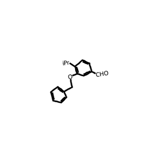 CC(C)c1ccc(C=O)cc1OCc1ccccc1